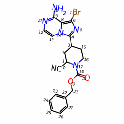 N#CC1CC(c2nc(Br)c3c(N)nccn23)CCN1C(=O)OCc1ccccc1